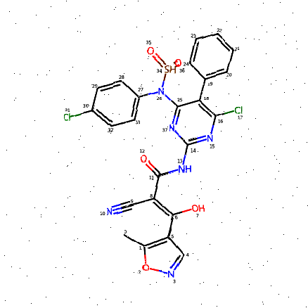 Cc1oncc1/C(O)=C(\C#N)C(=O)Nc1nc(Cl)c(-c2ccccc2)c(N(c2ccc(Cl)cc2)[SH](=O)=O)n1